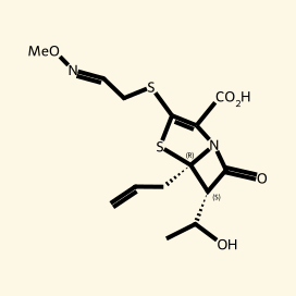 C=CC[C@]12SC(SCC=NOC)=C(C(=O)O)N1C(=O)[C@@H]2C(C)O